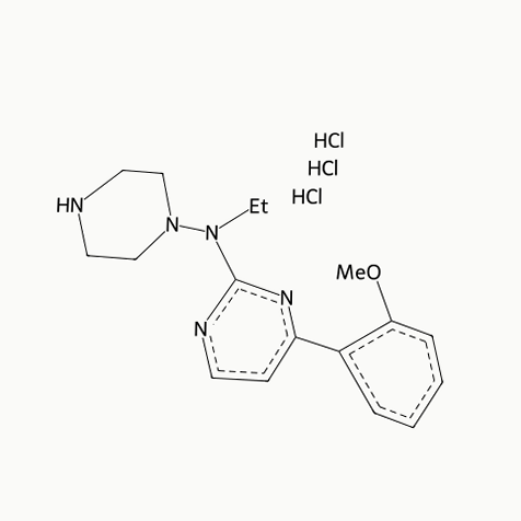 CCN(c1nccc(-c2ccccc2OC)n1)N1CCNCC1.Cl.Cl.Cl